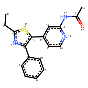 CCc1nc(-c2ccccc2)c(-c2ccnc(NC(C)=O)c2)s1